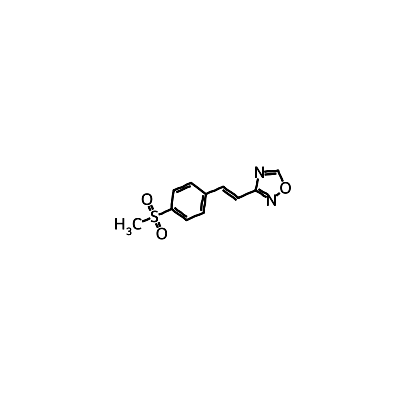 CS(=O)(=O)c1ccc(/C=C/c2ncon2)cc1